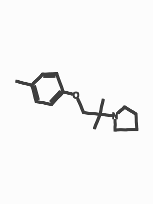 Cc1ccc(OCC(C)(C)N2CCCC2)cc1